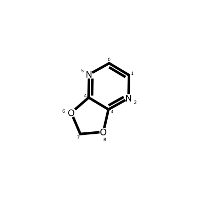 c1cnc2c(n1)OCO2